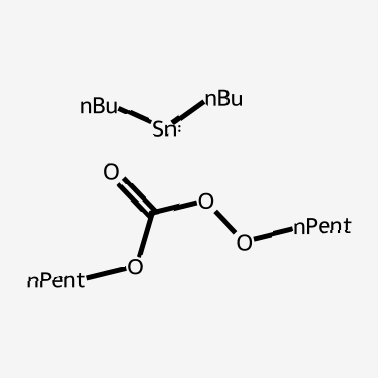 CCCCCOOC(=O)OCCCCC.CCC[CH2][Sn][CH2]CCC